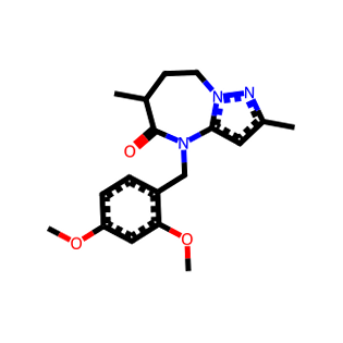 COc1ccc(CN2C(=O)C(C)CCn3nc(C)cc32)c(OC)c1